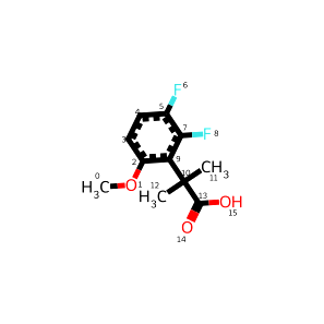 COc1ccc(F)c(F)c1C(C)(C)C(=O)O